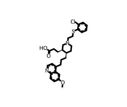 COc1ccc2nccc(CCC[C@@H]3CCN(CCSc4ccccc4Cl)C[C@@H]3CCC(=O)O)c2c1